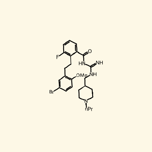 CCCN1CCC(CNC(=N)NC(=O)c2cccc(F)c2CCc2cc(Br)ccc2OC)CC1